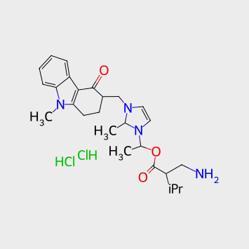 CC(C)C(CN)C(=O)OC(C)N1C=CN(CC2CCc3c(c4ccccc4n3C)C2=O)C1C.Cl.Cl